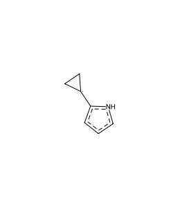 c1c[nH]c([C]2CC2)c1